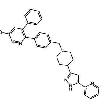 Oc1cc(-c2ccccc2)c(-c2ccc(CN3CCC(c4cc(-c5ccccn5)[nH]n4)CC3)cc2)nn1